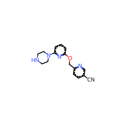 N#Cc1ccc(COc2cccc(N3CCNCC3)n2)nc1